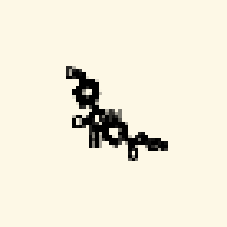 CC(C)(C)OC(=O)N1CCC2(CC1)NC(=O)C(c1ccc(Br)cc1)N2